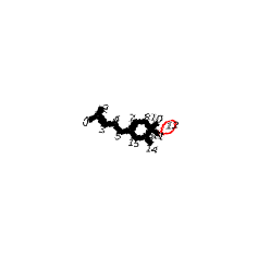 CC(C)=CCCC1=CCC(C)(C=O)C(C)C1